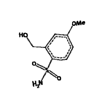 COc1ccc(S(N)(=O)=O)c(CO)c1